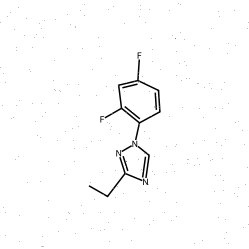 CCc1ncn(-c2ccc(F)cc2F)n1